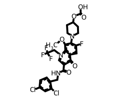 COc1c(N2CCC(OC(=O)O)CC2)c(F)cc2c(=O)c(C(=O)NCc3ccc(Cl)cc3Cl)cn(CC(F)(F)F)c12